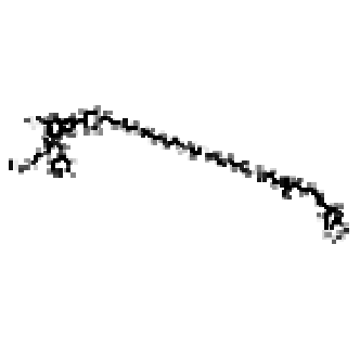 CCCCc1nc2c(N)nc3cc(C4CCN(CCOCCOCCOCCOCCOCCOCCOCCOCCNC(=O)CCCC#Cc5cnc(SC)nc5)CC4)sc3c2n1CC1CCOCC1